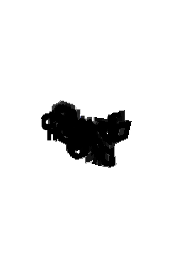 O=C(O)/C(=C\c1cc(-c2ccc(Cl)c(Cl)c2)n(-c2cc(Cl)ccc2Cl)n1)c1cccc(Cl)c1